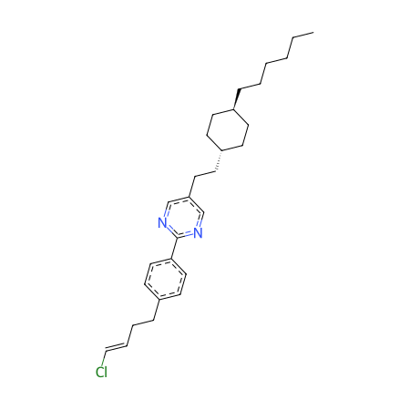 CCCCCC[C@H]1CC[C@H](CCc2cnc(-c3ccc(CC/C=C/Cl)cc3)nc2)CC1